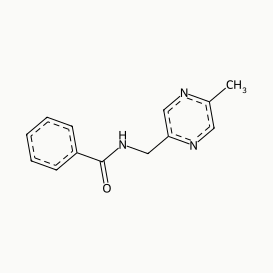 Cc1cnc(CNC(=O)c2ccccc2)cn1